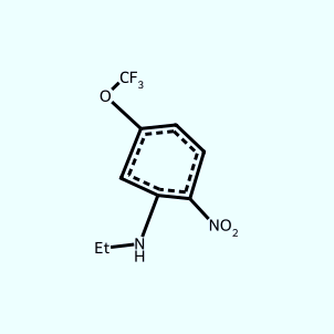 CCNc1cc(OC(F)(F)F)ccc1[N+](=O)[O-]